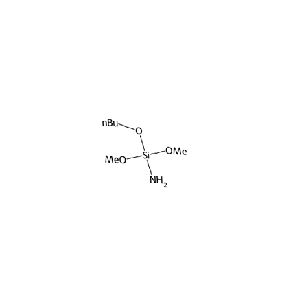 CCCCO[Si](N)(OC)OC